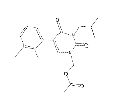 CC(=O)OCn1cc(-c2cccc(C)c2C)c(=O)n(CC(C)C)c1=O